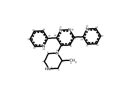 CC1CNCCN1c1cc(-c2ccccn2)nnc1-c1ccccn1